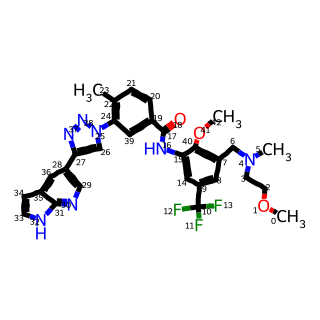 COCCN(C)Cc1cc(C(F)(F)F)cc(NC(=O)c2ccc(C)c(-n3cc(-c4cnc5[nH]ccc5c4)nn3)c2)c1OC